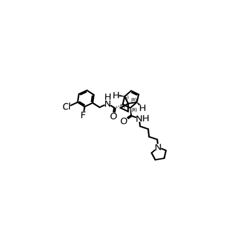 O=C(NCCCCN1CCCC1)[C@H]1[C@H](C(=O)NCc2cccc(Cl)c2F)[C@@H]2C=C[C@H]1C21CC1